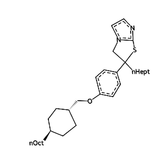 CCCCCCCC[C@H]1CC[C@H](COc2ccc(C3(CCCCCCC)Cn4ccnc4S3)cc2)CC1